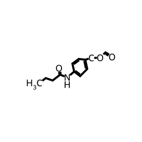 CCCC(=O)Nc1ccc(COC=O)cc1